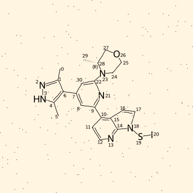 Cc1n[nH]c(C)c1-c1cc(-c2ccnc3c2ccn3SI)nc(N2CCOC[C@H]2C)c1